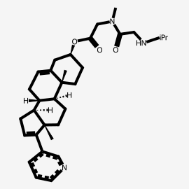 CC(C)NCC(=O)N(C)CC(=O)O[C@H]1CC[C@@]2(C)C(=CC[C@@H]3[C@@H]2CC[C@]2(C)C(c4cccnc4)=CC[C@@H]32)C1